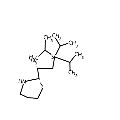 CC(C)[Si](C[C@@H](O)[C@@H]1CCCCN1)(C(C)C)C(C)C